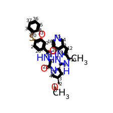 COC[C@@H]1C[C@@H](C(=N)N[C@H](C)c2cc3cnccc3[nH]2)N(C(=O)CNC(=O)c2ccc3c(c2)Oc2ccccc2S3)C1